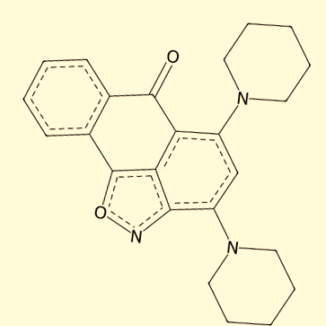 O=C1c2ccccc2-c2onc3c(N4CCCCC4)cc(N4CCCCC4)c1c23